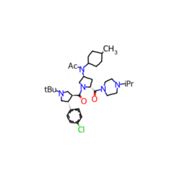 CC(=O)N(C1CCC(C)CC1)[C@H]1C[C@H](C(=O)N2CCN(C(C)C)CC2)N(C(=O)[C@@H]2CN(C(C)(C)C)C[C@H]2c2ccc(Cl)cc2)C1